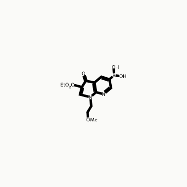 CCOC(=O)c1cn(CCOC)c2ncc(B(O)O)cc2c1=O